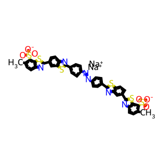 Cc1ccc2nc(-c3ccc4sc(-c5ccc(N=Nc6ccc(-c7nc8ccc(-c9nc%10ccc(C)c(S(=O)(=O)[O-])c%10s9)cc8s7)cc6)cc5)nc4c3)sc2c1S(=O)(=O)[O-].[Na+].[Na+]